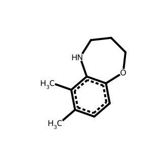 Cc1ccc2c(c1C)NCCCO2